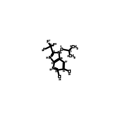 CC(C)On1c(C(F)(F)F)nc2nc(Cl)c(Cl)cc21